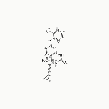 O=C1Nc2cc(Cc3nccnc3Cl)ccc2[C@@](C#CC2CC2)(C(F)(F)F)N1